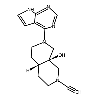 C#CN1CC[C@@H]2CCN(c3ncnc4[nH]ccc34)C[C@]2(O)C1